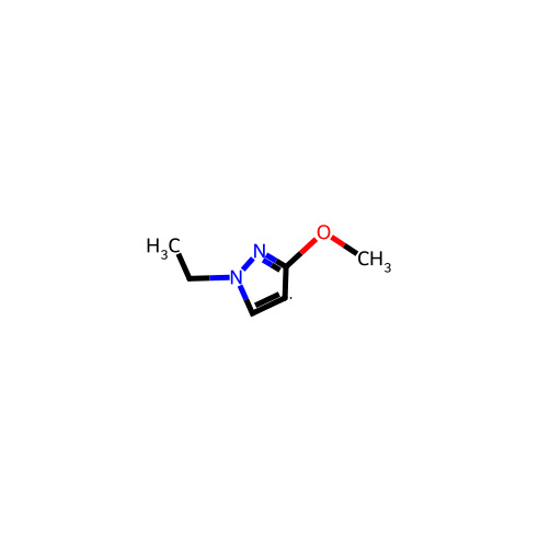 CCn1c[c]c(OC)n1